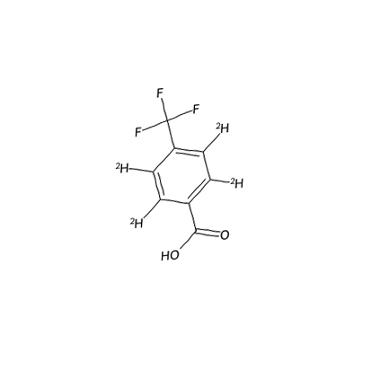 [2H]c1c([2H])c(C(F)(F)F)c([2H])c([2H])c1C(=O)O